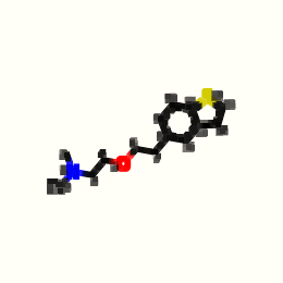 CCN(C)CCOCCc1ccc2sccc2c1